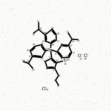 CCCC1=CCC([Si](c2cccc(C(C)C)c2)(c2cccc(C(C)C)c2)c2cccc(C(C)C)c2)=[C]1[Ti+3].[Cl-].[Cl-].[Cl-]